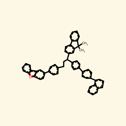 CC1(C)c2ccccc2-c2ccc(C(CCc3ccc(-c4ccc5oc6ccccc6c5c4)cc3)c3ccc(-c4ccc(-c5cccc6ccccc56)cc4)cc3)cc21